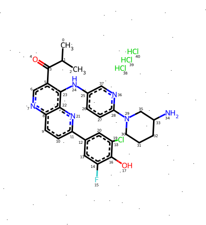 CC(C)C(=O)c1cnc2ccc(-c3cc(F)c(O)c(Cl)c3)nc2c1Nc1ccc(N2CCCC(N)C2)nc1.Cl.Cl.Cl